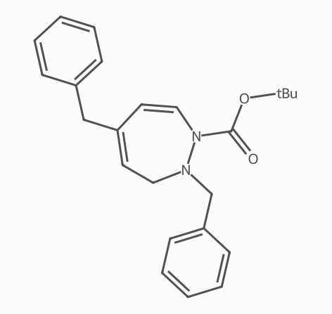 CC(C)(C)OC(=O)N1C=CC(Cc2ccccc2)=CCN1Cc1ccccc1